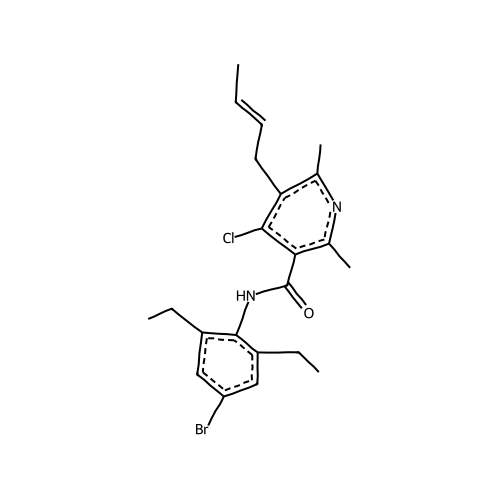 CC=CCc1c(C)nc(C)c(C(=O)Nc2c(CC)cc(Br)cc2CC)c1Cl